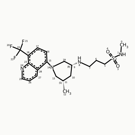 CNS(=O)(=O)CCCN[C@@H]1C[C@H](C)CN(c2ccc(C(F)(F)F)c3ncccc23)C1